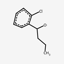 CCCC([O])c1ccccc1Cl